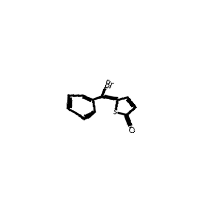 O=C1C=CC(=C(Br)c2ccccc2)S1